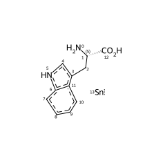 N[C@@H](Cc1c[nH]c2ccccc12)C(=O)O.[Sn]